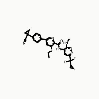 CCSc1cc(-c2ccc(C3(C#N)CC3)cc2)cnc1C(=O)Nc1cc(C(F)(F)C2CC2)nnc1NC